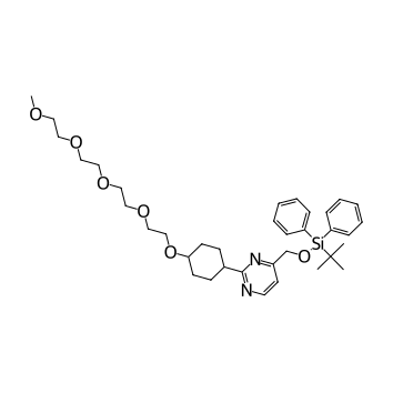 COCCOCCOCCOCCOC1CCC(c2nccc(CO[Si](c3ccccc3)(c3ccccc3)C(C)(C)C)n2)CC1